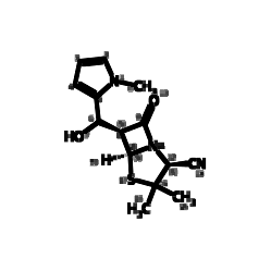 Cn1cccc1C(O)[C@H]1C(=O)N2[C@@H](C#N)C(C)(C)S[C@@H]12